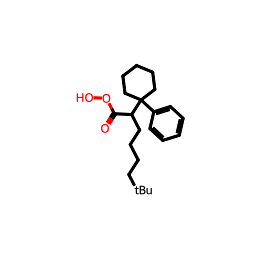 CC(C)(C)CCCCC(C(=O)OO)C1(c2ccccc2)CCCCC1